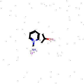 CC(C)O.C[n+]1ccccc1.I.N.[I-]